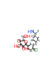 CC(=N)c1ccc(Cc2cc([C@@H]3O[C@H](CO)C(=O)[C@H](O)[C@H]3O)ccc2Cl)cc1